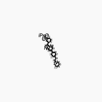 CC(C)S(=O)(=O)c1cccc(-c2cnn3cc(-c4ccc(CCN5CCCCC5)cc4)cnc23)c1